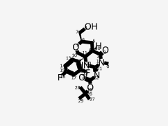 CN1C(=O)[C@@H]2C[C@H](CO)OC[C@]2(c2ccc(F)cc2F)N/C1=N\C(=O)OC(C)(C)C